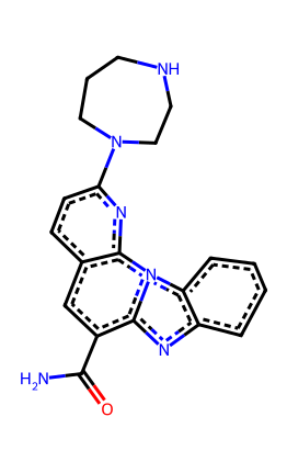 NC(=O)c1cc2ccc(N3CCCNCC3)nc2n2c1nc1ccccc12